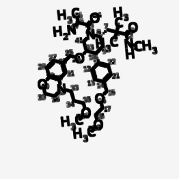 CNC(=O)C(C)(C)C[C@@H]1C[C@H](c2ccc(COCCOC)cc2)[C@@H](OCc2ccc3c(c2)N(CCCOC)CCO3)CN1C(=O)C(C)N